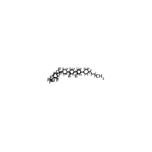 CCCCCC1CCC(c2ccc(-c3ccc(C4CCC(C(F)(F)Oc5ccc(OC(F)(F)F)c(F)c5)CC4)c(F)c3)c(F)c2)CC1